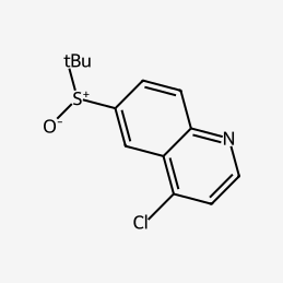 CC(C)(C)[S+]([O-])c1ccc2nccc(Cl)c2c1